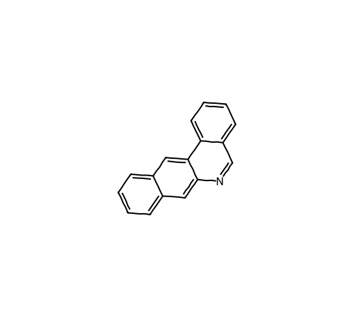 c1ccc2cc3c(cc2c1)ncc1ccccc13